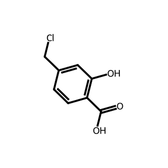 O=C(O)c1ccc(CCl)cc1O